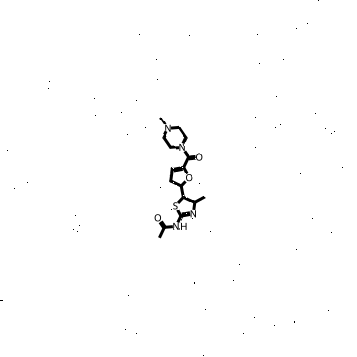 CC(=O)NC1=NC(C)C(C2CC=C(C(=O)N3CCN(C)CC3)O2)S1